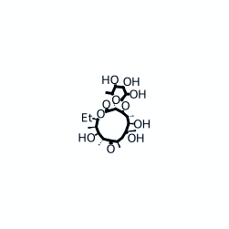 CC[C@H]1OC(=O)[C@H](C)[C@@H](OC2OC(C)C(O)C(O)C2O)[C@H](C)[C@@H](O)[C@](C)(O)C[C@@H](C)C(=O)[C@H](C)[C@@H](O)[C@H]1C